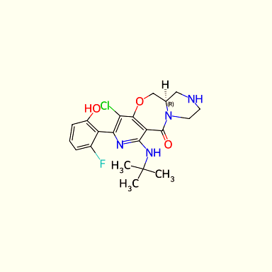 CC(C)(C)Nc1nc(-c2c(O)cccc2F)c(Cl)c2c1C(=O)N1CCNC[C@@H]1CO2